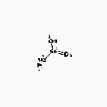 O=[Se](O)O.[Pt]